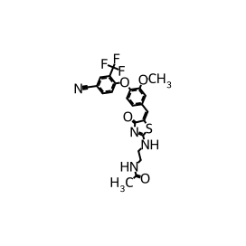 COc1cc(C=C2SC(NCCNC(C)=O)=NC2=O)ccc1Oc1ccc(C#N)cc1C(F)(F)F